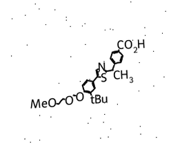 COCCOCOc1ccc(-c2cnc(C(C)c3ccc(C(=O)O)cc3)s2)cc1C(C)(C)C